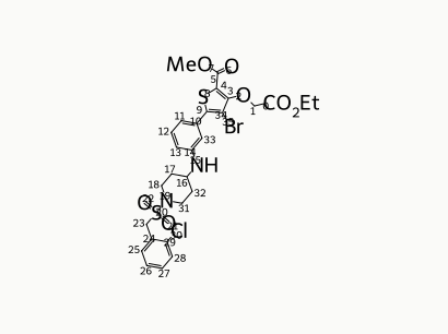 CCOC(=O)COc1c(C(=O)OC)sc(-c2cccc(NC3CCN(S(=O)(=O)Cc4ccccc4Cl)CC3)c2)c1Br